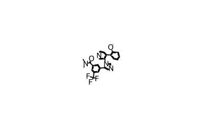 COc1ccccc1-c1ccncc1-n1cncc1-c1cc(C(=O)N(C)C)cc(C(F)(F)F)c1